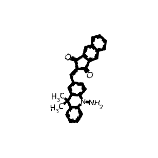 CC1(C)c2ccccc2N(N)c2ccc(C=C3C(=O)c4cc5ccccc5cc4C3=O)cc21